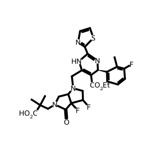 CCOC(=O)C1=C(CN2CC(F)C3(F)C(=O)N(CC(C)(C)C(=O)O)CC23)NC(c2nccs2)=N[C@H]1c1cccc(F)c1C